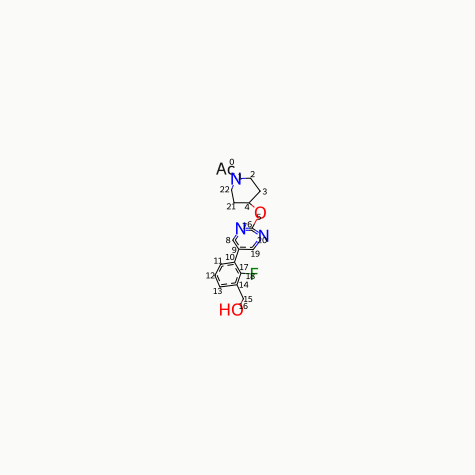 CC(=O)N1CCC(Oc2ncc(-c3cccc(CO)c3F)cn2)CC1